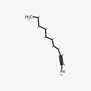 CCCCCCCCC#C[As]